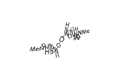 CNC(=O)NC(C(=O)N1CC=C[C@H]1c1nc(-c2ccc(-c3ccc(-c4c[nH]c(C5CCCN5C(=O)[C@@H](NC(=O)NC)C(C)C)n4)cc3)cc2)c[nH]1)C(C)C